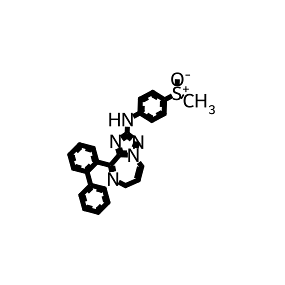 C[S+]([O-])c1ccc(Nc2nc3n(n2)C=CCN=C3c2ccccc2-c2ccccc2)cc1